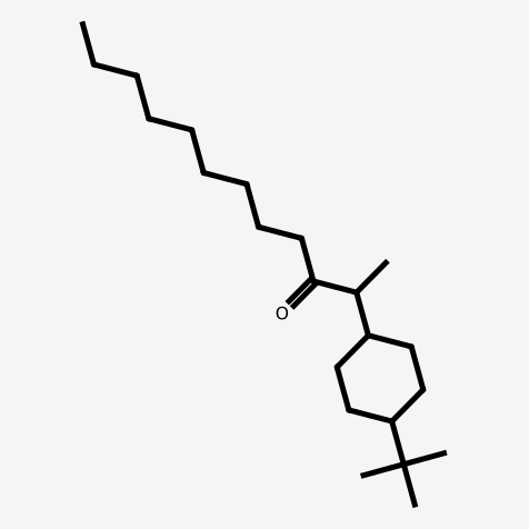 CCCCCCCCCC(=O)C(C)C1CCC(C(C)(C)C)CC1